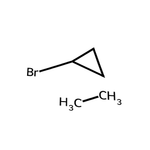 BrC1CC1.CC